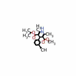 C#Cc1cccc(C2C(C(=O)OC)=C(C)NC(C)=C2C(=O)OC(C)C)c1